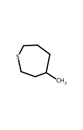 CC1CCCSCC1